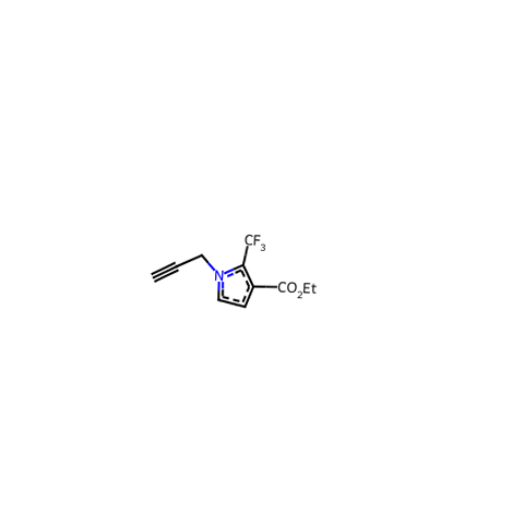 C#CCn1ccc(C(=O)OCC)c1C(F)(F)F